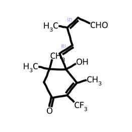 CC1=C(C(F)(F)F)C(=O)CC(C)(C)C1(O)/C=C/C(C)=C\C=O